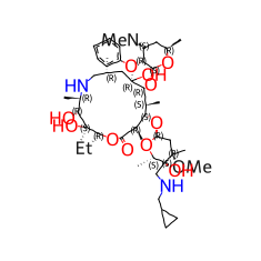 CC[C@H]1OC(=O)[C@H](C)[C@@H](O[C@H]2C[C@@](C)(OC)[C@](O)(CNCC3CC3)[C@H](C)O2)[C@H](C)[C@@H](O[C@@H]2O[C@H](C)C[C@H](NC)[C@H]2Oc2ccccc2)[C@](C)(O)C[C@@H](C)CN[C@H](C)[C@@H](O)[C@]1(C)O